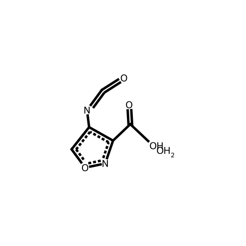 O.O=C=Nc1conc1C(=O)O